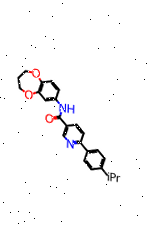 CC(C)c1ccc(-c2ccc(C(=O)Nc3ccc4c(c3)OCCCO4)cn2)cc1